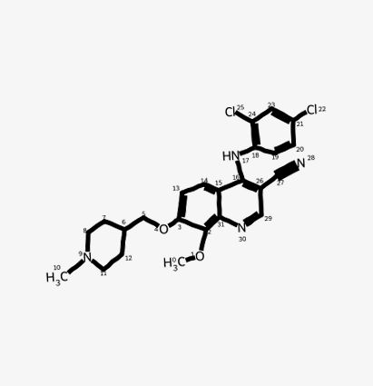 COc1c(OCC2CCN(C)CC2)ccc2c(Nc3ccc(Cl)cc3Cl)c(C#N)cnc12